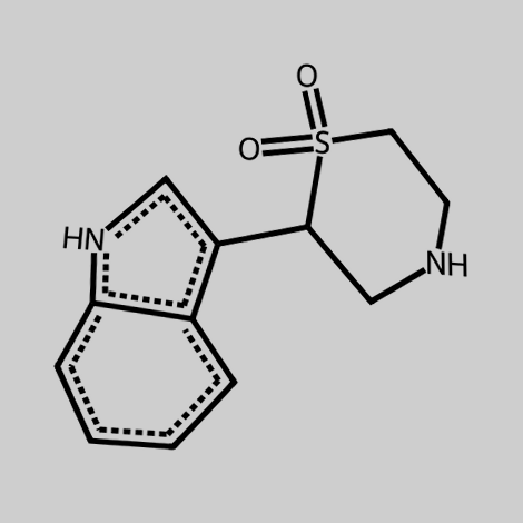 O=S1(=O)CCNCC1c1c[nH]c2ccccc12